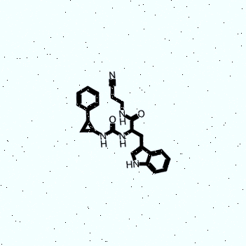 N#CCCNC(=O)C(Cc1c[nH]c2ccccc12)NC(=O)NC1CC1c1ccccc1